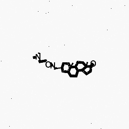 CN(C)CCO/N=C/[C@H]1CC[C@@]2(C)C(CCC3C2CC[C@]2(C)C(=O)CCC32)C1